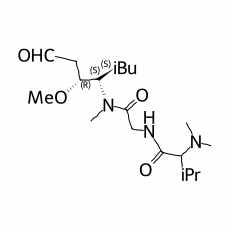 CC[C@H](C)[C@@H]([C@@H](CC=O)OC)N(C)C(=O)CNC(=O)C(C(C)C)N(C)C